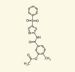 CC(=O)Oc1cc(C(=O)Nc2ncc(S(=O)(=O)c3ccccc3)s2)ccc1C